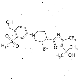 CC(C)C1CN(c2ccc(CO)c(S(C)(=O)=O)c2)CCN1c1nc(C(F)(F)F)c(C(C)(C)O)o1